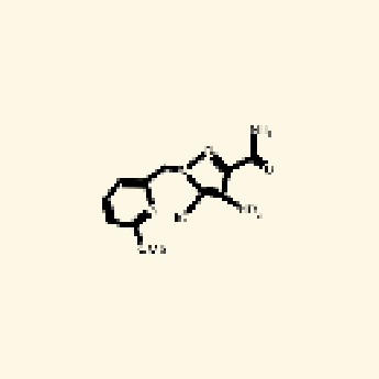 CCc1c([N+](=O)[O-])c(C(N)=O)nn1Cc1cccc(OC)n1